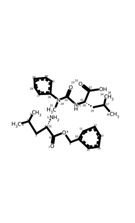 CC(C)C[C@H](N)C(=O)OCc1ccccc1.CC(C)C[C@H](NC(=O)N(C)c1ccccc1)C(=O)O